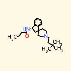 CCCC(=O)N[C@H]1CC2(CCN(CCC(C)(C)C)CC2)c2ccccc21